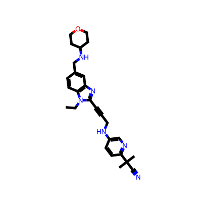 CCn1c(C#CCNc2ccc(C(C)(C)C#N)nc2)nc2cc(CNC3CCOCC3)ccc21